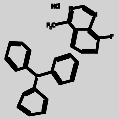 Cl.Fc1cccc2c(C(F)(F)F)ncnc12.c1ccc(P(c2ccccc2)c2ccccc2)cc1